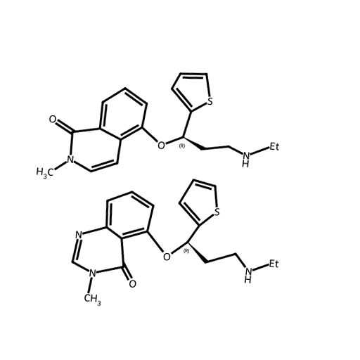 CCNCC[C@@H](Oc1cccc2c(=O)n(C)ccc12)c1cccs1.CCNCC[C@@H](Oc1cccc2ncn(C)c(=O)c12)c1cccs1